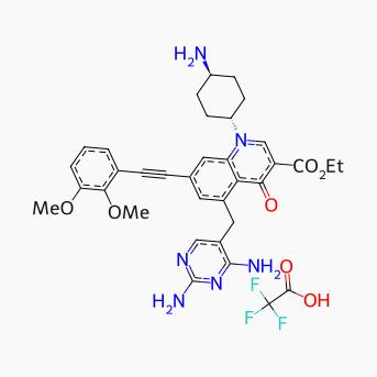 CCOC(=O)c1cn([C@H]2CC[C@H](N)CC2)c2cc(C#Cc3cccc(OC)c3OC)cc(Cc3cnc(N)nc3N)c2c1=O.O=C(O)C(F)(F)F